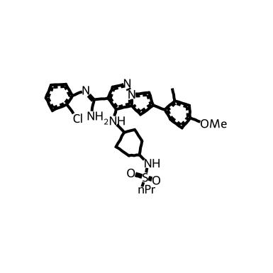 CCCS(=O)(=O)NC1CCC(Nc2c(/C(N)=N/c3ccccc3Cl)cnn3cc(-c4ccc(OC)cc4C)cc23)CC1